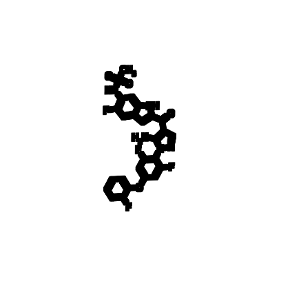 CS(=O)(=O)Nc1cc2[nH]c(C(=O)c3cnn(-c4c(F)cc(Oc5ccccc5F)cc4F)c3N)cc2cc1F